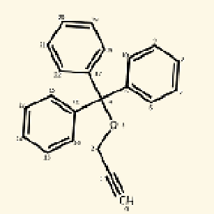 C#CCOC(c1ccccc1)(c1ccccc1)c1ccccc1